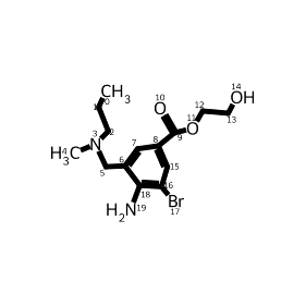 CCCN(C)Cc1cc(C(=O)OCCO)cc(Br)c1N